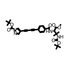 COC(=O)[C@@H](NC(=O)c1ccc(C#CC#Cc2cnn(C(=O)OC(C)(C)C)c2)cc1)C(C)(C)NC(=O)OC(C)(C)C